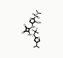 CC(C)c1coc([C@H](Nc2c(Nc3csc(S(=O)(=O)N(C)C)c3O)c(=O)c2=O)C(F)(F)F)c1